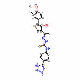 C/C(=N\NC(=S)Nc1ccc(-c2nnn[nH]2)cc1)c1csc(-c2ccc3c(c2)CCO3)c1O